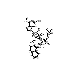 CNc1nc(N)nc2c1ncn2[C@@H]1O[C@]2(CCl)C(O[P@@](=O)(N[C@H](C)C(=O)OCC(C)(C)C)Oc3cccc4ccccc34)[C@]2(O)[C@@H]1F